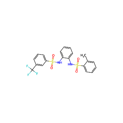 Cc1ccccc1S(=O)(=O)Nc1ccccc1NS(=O)(=O)c1cccc(C(F)(F)F)c1